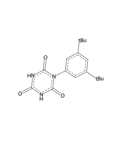 CC(C)(C)c1cc(-n2c(=O)[nH]c(=O)[nH]c2=O)cc(C(C)(C)C)c1